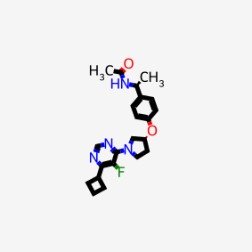 CC(=O)N[C@@H](C)c1ccc(O[C@@H]2CCN(c3ncnc(C4CCC4)c3F)C2)cc1